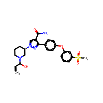 C=CC(O)N1CCC[C@@H](n2cc(C(N)=O)c(-c3ccc(Oc4cccc(S(C)(=O)=O)c4)cc3)n2)C1